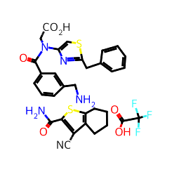 N#Cc1c(C(N)=O)sc2c1CCCC2.NCc1cccc(C(=O)N(CC(=O)O)c2csc(Cc3ccccc3)n2)c1.O=C(O)C(F)(F)F